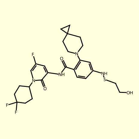 O=C(Nc1cc(F)cn(C2CCC(F)(F)CC2)c1=O)c1ccc(NSCCO)cc1N1CCC2(CC1)CC2